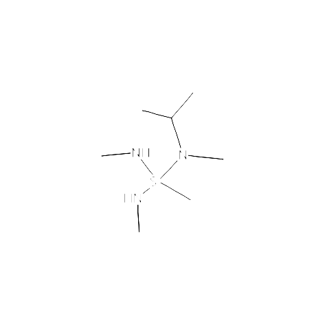 CN[Si](C)(NC)N(C)C(C)C